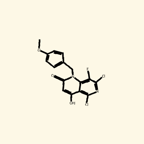 COc1ccc(Cn2c(=O)cc(O)c3c(Cl)nc(Cl)c(F)c32)cc1